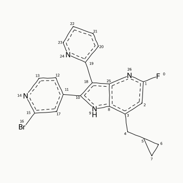 Fc1cc(CC2CC2)c2[nH]c(-c3ccnc(Br)c3)c(-c3ccccn3)c2n1